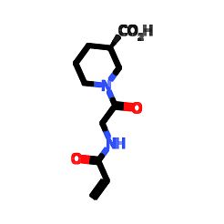 C=CC(=O)NCC(=O)N1CCC[C@@H](C(=O)O)C1